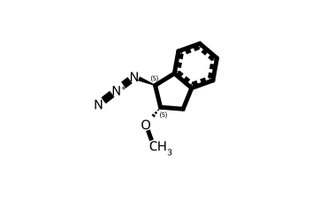 CO[C@H]1Cc2ccccc2[C@@H]1N=[N+]=[N-]